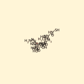 CCCC#CC12N=CN=C(N)C1=NCN2[C@@H]1O[C@H](COP(=O)(O)OP(=O)(O)OCC(C)(C)[C@@H](O)C(=O)NCCC(=O)NCCS)[C@@H](OP(=O)(O)O)[C@H]1O